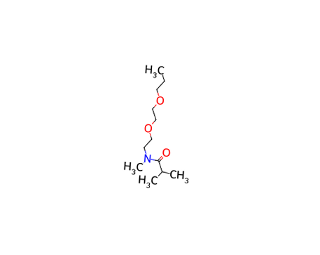 CCCOCCOCCN(C)C(=O)C(C)C